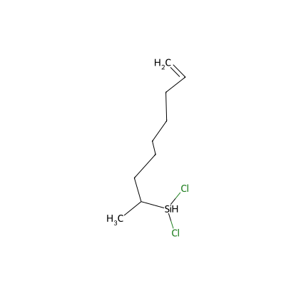 C=CCCCCCC(C)[SiH](Cl)Cl